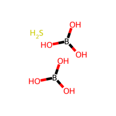 OB(O)O.OB(O)O.S